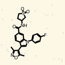 Cc1noc(C)c1-c1cn(-c2ccc(F)cc2)c2cc(C(=O)NC3CCS(=O)(=O)C3)ccc12